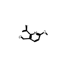 [CH2]C(C)c1nc(OC)ccc1CCl